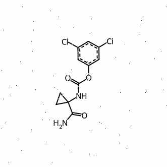 NC(=O)C1(NC(=O)Oc2cc(Cl)cc(Cl)c2)CC1